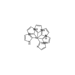 c1c[nH][c]([Ni]([c]2ncc[nH]2)([c]2ncc[nH]2)([c]2ncc[nH]2)([c]2ncc[nH]2)[c]2ncc[nH]2)n1